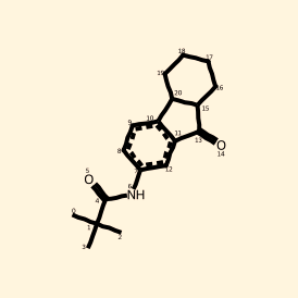 CC(C)(C)C(=O)Nc1ccc2c(c1)C(=O)C1CCCCC21